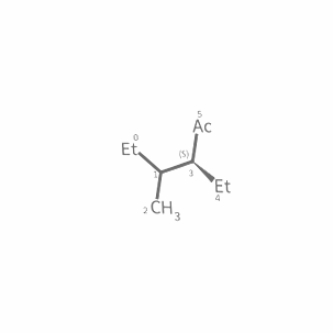 CCC(C)[C@H](CC)C(C)=O